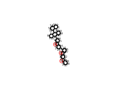 c1ccc2c(-c3c4ccccc4c(-c4ccc5c(c4)oc4ccc(-c6cccc7c6oc6cc8oc9ccccc9c8cc67)cc45)c4ccccc34)cccc2c1